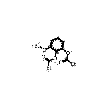 CCCCOc1cccc(OC(=O)CC)c1OC(=O)CC